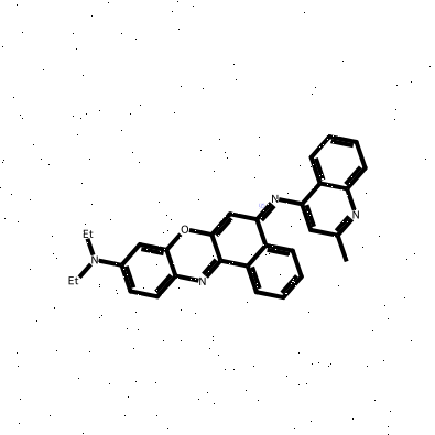 CCN(CC)c1ccc2nc3c4ccccc4/c(=N\c4cc(C)nc5ccccc45)cc-3oc2c1